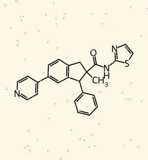 CC1(C(=O)Nc2nccs2)Cc2ccc(-c3ccncc3)cc2C1c1ccccc1